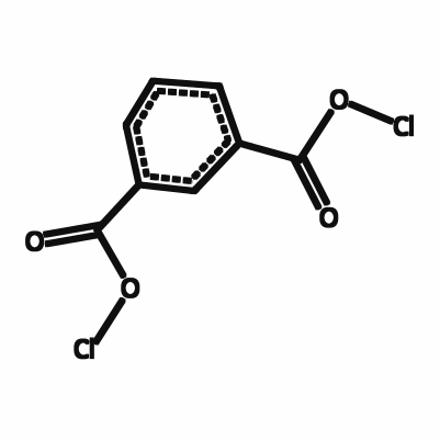 O=C(OCl)c1cccc(C(=O)OCl)c1